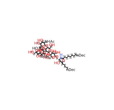 CCCCCCCCCCCCC/C=C/[C@@H](O)[C@H](CO[C@@H]1O[C@H](CO)[C@@H](O[C@@H]2O[C@H](CO)[C@H](O[C@@H]3O[C@H](CO)[C@H](O)[C@H](O)[C@H]3NC(C)=O)[C@H](O[C@]3(C(=O)O)C[C@H](O)[C@@H](NC(C)=O)[C@H]([C@H](O)[C@H](O)CO)O3)[C@H]2O)[C@H](O)[C@H]1O)NC(=O)CCCCCCCCCCCCCCCCC